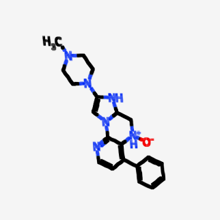 CN1CCN(C2=CN3c4nccc(-c5ccccc5)c4[NH+]([O-])CC3N2)CC1